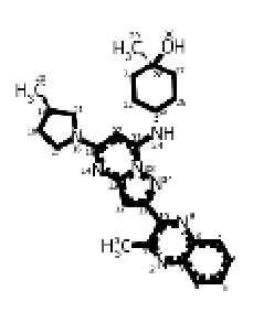 Cc1nc2ccccc2nc1-c1cc2nc(N3CC[C@@H](C)C3)cc(N[C@H]3CC[C@](C)(O)CC3)n2n1